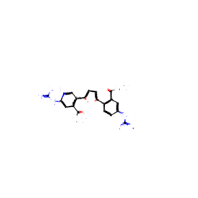 CNC(=O)c1cc(NC(=N)N)ccc1-c1ccc(-c2ccc(NC(=N)N)cc2C(=O)NC)o1